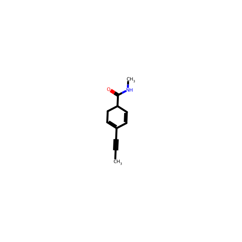 CC#CC1=CCC(C(=O)NC)C=C1